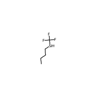 CCCC[SiH]C(F)(F)F